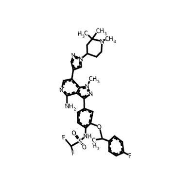 CC(Oc1cc(-c2nn(C)c3c(-c4cnn(C5CCN(C)C(C)(C)C5)c4)cnc(N)c23)ccc1NS(=O)(=O)C(F)F)c1ccc(F)cc1